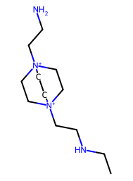 CCNCC[N+]12CC[N+](CCN)(CC1)CC2